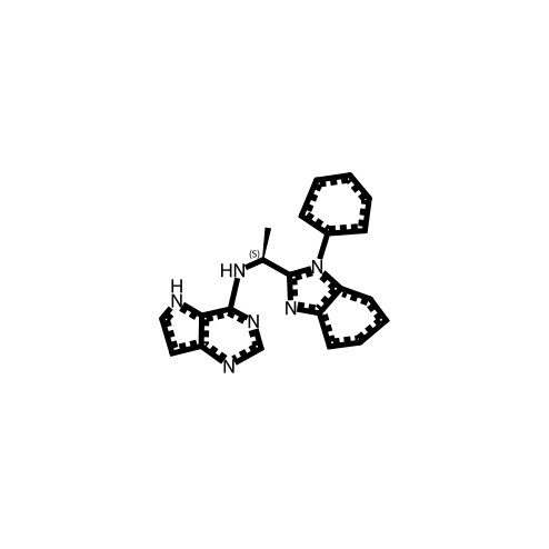 C[C@H](Nc1ncnc2cc[nH]c12)c1nc2ccccc2n1-c1ccccc1